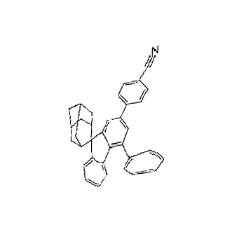 N#Cc1ccc(-c2cc(-c3ccccc3)c3c(c2)C2(c4ccccc4-3)C3CC4CC(C3)CC2C4)cc1